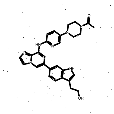 CC(=O)N1CCN(c2ccc(Nc3cc(-c4ccc5c(CCO)c[nH]c5c4)cn4ccnc34)nc2)CC1